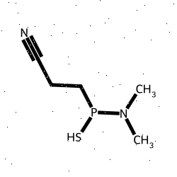 CN(C)P(S)CCC#N